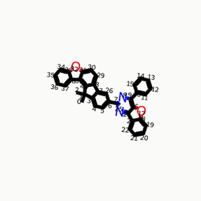 CC1(C)c2ccc(-c3nc(-c4ccccc4)c4oc5ccccc5c4n3)cc2-c2ccc3oc4ccccc4c3c21